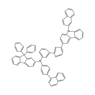 c1ccc(C2(c3ccccc3)c3ccccc3-c3ccc(N(c4ccc(-c5cccc6ccccc56)cc4)c4cccc(-c5cccc(-c6ccc7c(c6)c6ccccc6n7-c6ccc7ccccc7c6)c5)c4)cc32)cc1